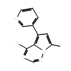 Cc1cc(-c2cccnc2)c2c(N)ncnn12